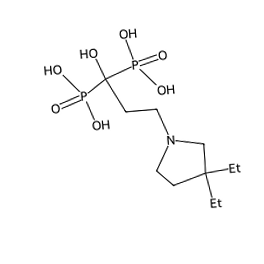 CCC1(CC)CCN(CCC(O)(P(=O)(O)O)P(=O)(O)O)C1